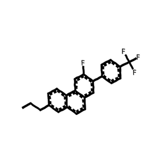 CCCc1ccc2c(ccc3cc(-c4ccc(C(F)(F)F)cc4)c(F)cc32)c1